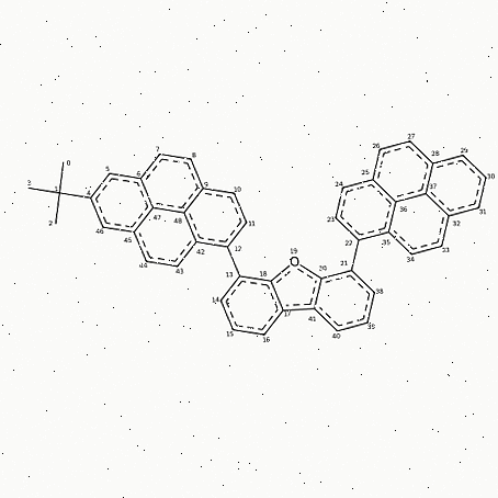 CC(C)(C)c1cc2ccc3ccc(-c4cccc5c4oc4c(-c6ccc7ccc8cccc9ccc6c7c89)cccc45)c4ccc(c1)c2c34